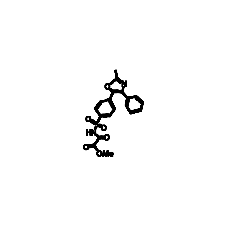 COC(=O)C(=O)NS(=O)(=O)c1ccc(-c2oc(C)nc2-c2ccccc2)cc1